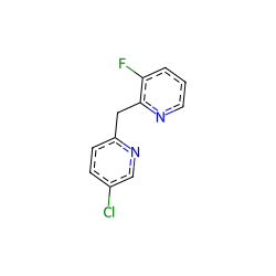 Fc1cccnc1Cc1ccc(Cl)cn1